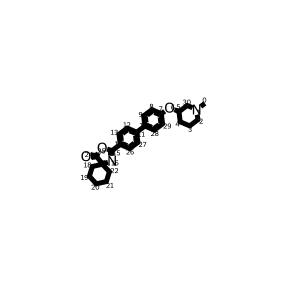 CN1CCCC(Oc2ccc(-c3ccc(C4=NC5(CCCCC5)C(=O)O4)cc3)cc2)C1